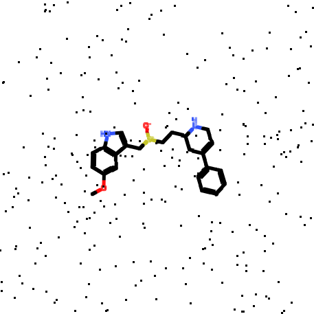 COc1ccc2[nH]cc(C[S+]([O-])CCC3CC(c4ccccc4)=CCN3)c2c1